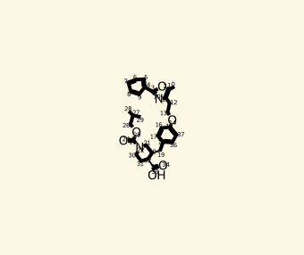 Cc1oc(-c2ccccc2)nc1CCOc1ccc(C[C@@H]2CN(C(=O)OCC(C)C)CC[C@@H]2C(=O)O)cc1